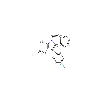 CC(C)c1c(/C=C/C=O)c(-c2ccc(F)cc2)c2c3ccccc3ccn12